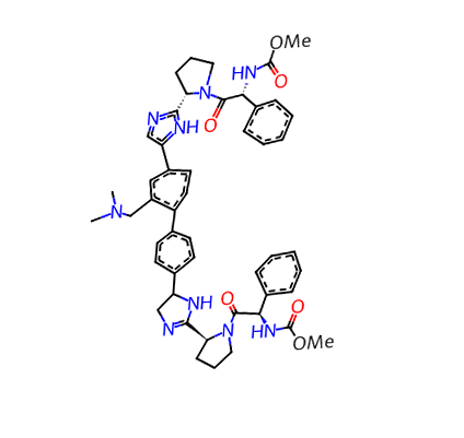 COC(=O)N[C@@H](C(=O)N1CCC[C@H]1C1=NCC(c2ccc(-c3ccc(-c4cnc([C@@H]5CCCN5C(=O)[C@H](NC(=O)OC)c5ccccc5)[nH]4)cc3CN(C)C)cc2)N1)c1ccccc1